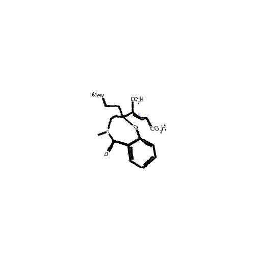 CNCCC1(/C(=C\C(=O)O)C(=O)O)CN(C)C(=O)c2ccccc2O1